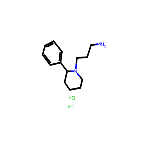 Cl.Cl.NCCCN1CCCCC1c1ccccc1